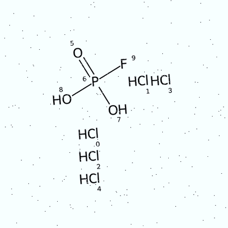 Cl.Cl.Cl.Cl.Cl.O=P(O)(O)F